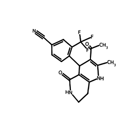 CC(=O)C1=C(C)NC2=C(C(=O)NCC2)C1c1ccc(C#N)cc1C(F)(F)F